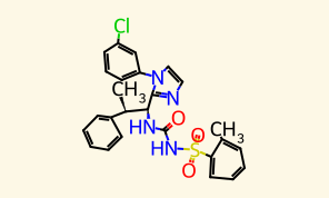 Cc1ccccc1S(=O)(=O)NC(=O)N[C@H](c1nccn1-c1cccc(Cl)c1)[C@H](C)c1ccccc1